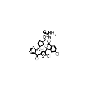 NS(=O)(=O)OC[C@@H]1CC[C@H](Nc2ncncc2C(=O)c2cc(C3OC(=O)c4ccc(Cl)cc43)c(Cl)s2)C1